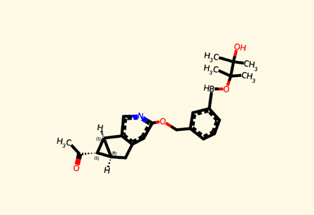 CC(=O)[C@H]1[C@@H]2Cc3cc(OCc4cccc(BOC(C)(C)C(C)(C)O)c4)ncc3[C@@H]21